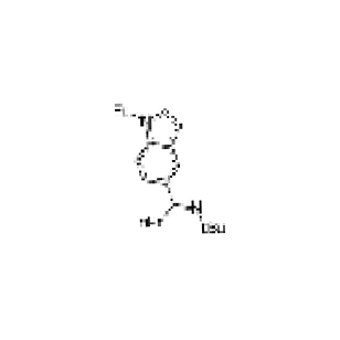 CCCC(=NC(C)(C)C)c1ccc2c(ccn2CC)c1